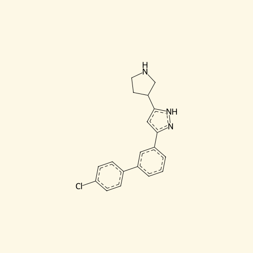 Clc1ccc(-c2cccc(-c3cc(C4CCNC4)[nH]n3)c2)cc1